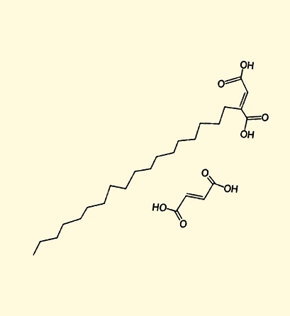 CCCCCCCCCCCCCCCCCC/C(=C\C(=O)O)C(=O)O.O=C(O)/C=C/C(=O)O